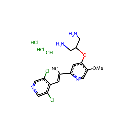 COc1cnc(C(C#N)=Cc2c(Cl)cncc2Cl)cc1OC(CN)CN.Cl.Cl.Cl